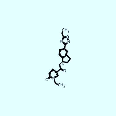 CCc1nc(-c2ccc3c(c2)CC[C@H]3CC(=O)c2ccc(=O)n(CC)c2)no1